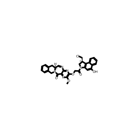 COc1nc2c(nc1OCC(=O)N1C[C@@H](CCl)c3c1cc(O)c1ccccc31)N=C[C@@H]1Cc3ccccc3CN1C2=O